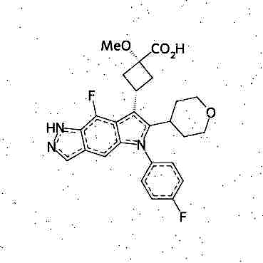 CO[C@]1(C(=O)O)C[C@H](c2c(C3CCOCC3)n(-c3ccc(F)cc3)c3cc4cn[nH]c4c(F)c32)C1